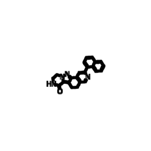 O=C1NCCn2nc3c(c21)CCc1cnc(-c2cccc4ccccc24)cc1-3